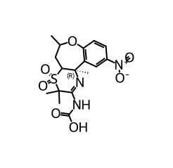 CC1CC2[C@](C)(N=C(NC(=O)O)C(C)(C)S2(=O)=O)c2cc([N+](=O)[O-])ccc2O1